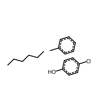 CCCCCC.Cc1ccccc1.Oc1ccc(Cl)cc1